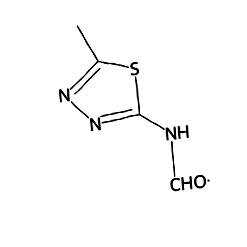 Cc1nnc(N[C]=O)s1